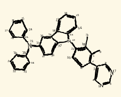 Cc1c(-c2cncnc2)ccc(-n2c3ccccc3c3cc(N(c4ccccc4)c4ccccc4)ccc32)c1C